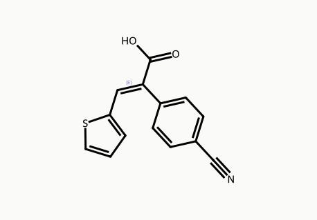 N#Cc1ccc(/C(=C\c2cccs2)C(=O)O)cc1